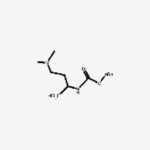 CCCCOC(=O)NC(CCN(C)C)C(=O)O